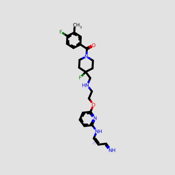 Cc1cc(C(=O)N2CCC(F)(CNCCOc3cccc(N/C=C\C=N)n3)CC2)ccc1F